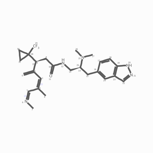 C=C(/C=C(C)\C=N/C)[C@H](CC(=O)NC[C@H](Cc1ccc2[nH]ncc2c1)N(C)C)C1(C(F)(F)F)CC1